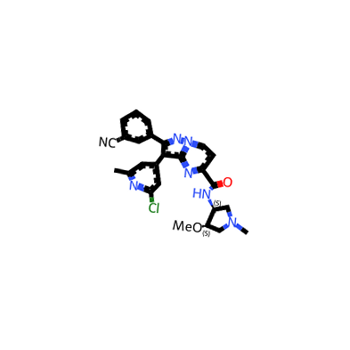 CO[C@H]1CN(C)C[C@@H]1NC(=O)c1ccn2nc(-c3cccc(C#N)c3)c(-c3cc(C)nc(Cl)c3)c2n1